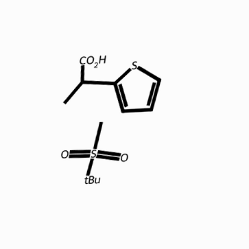 CC(C(=O)O)c1cccs1.CC(C)(C)S(C)(=O)=O